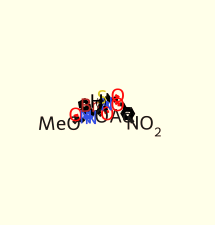 COC(=O)Cn1nc(C(OC(C)=O)C2(Br)C(=O)N3C(C(=O)OCc4ccc([N+](=O)[O-])cc4)=CS[C@@H]32)c2c1C1CCC2C1